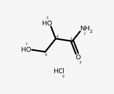 Cl.NC(=O)C(O)CO